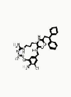 N/C(=N/[N+](=O)[O-])NCCC[C@@H](NC(=O)CC(c1ccccc1)c1ccccc1)C(=O)NCc1cc(Cl)c(N)c(Cl)c1